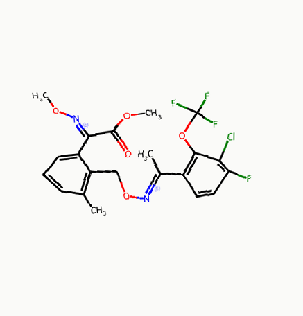 CO/N=C(/C(=O)OC)c1cccc(C)c1CO/N=C(\C)c1ccc(F)c(Cl)c1OC(F)(F)F